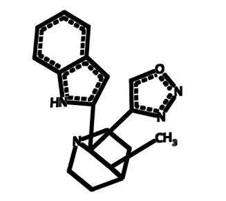 CC1C2CCN(CC2)C1(c1conn1)c1cc2ccccc2[nH]1